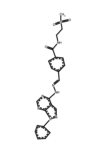 CS(=O)(=O)CCNC(=O)c1ccc(C=NNc2ncnc3c2cnn3-c2ccccc2)cc1